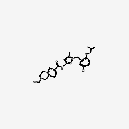 CCN1CCc2cc(C(=O)Nc3cc(C)n(Cc4cc(Cl)ccc4OCC(C)C)n3)ccc2C1